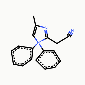 CC1=C[N+](c2ccccc2)(c2ccccc2)C(CC#N)=N1